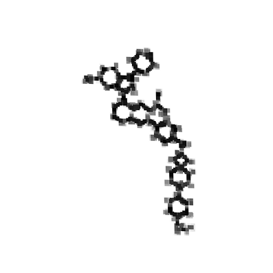 CC(=O)N1CCc2c(c(N3CCCc4cc(-c5ccc(OC6CC7(CCN(c8ccc(C(=O)O)cc8)CC7)C6)nc5)c(C(F)F)cc43)nn2C2CCOCC2)C1